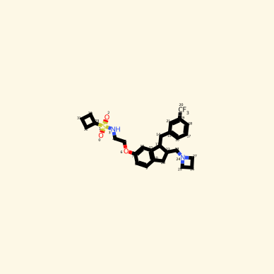 O=S(=O)(NCCOc1ccc2c(c1)C(Cc1cccc(C(F)(F)F)c1)C(CN1CCC1)C2)C1CCC1